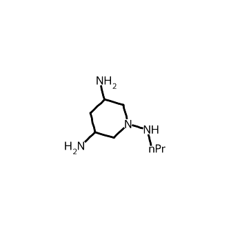 CCCNN1CC(N)CC(N)C1